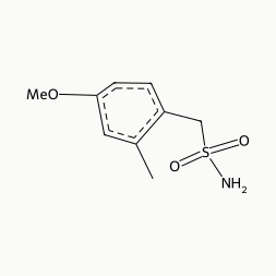 COc1ccc(CS(N)(=O)=O)c(C)c1